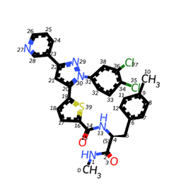 CNC(=O)[C@H](Cc1ccc(C)cc1)NC(=O)c1ccc(-c2cc(-c3cccnc3)nn2-c2ccc(Cl)c(Cl)c2)s1